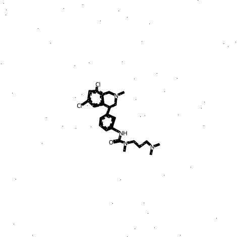 CN(C)CCCN(C)C(=O)Nc1cccc(C2CN(C)Cc3c(Cl)cc(Cl)cc32)c1